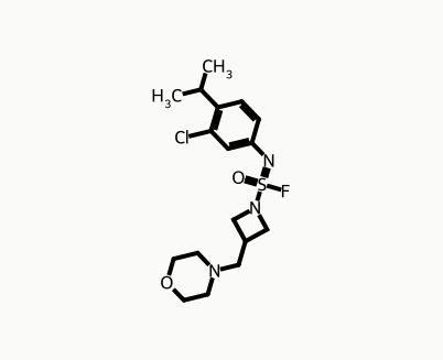 CC(C)c1ccc(N=S(=O)(F)N2CC(CN3CCOCC3)C2)cc1Cl